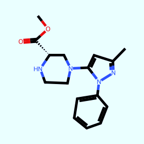 COC(=O)[C@@H]1CN(c2cc(C)nn2-c2ccccc2)CCN1